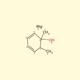 CC1C=CC=CC1(C)O.[Mg]